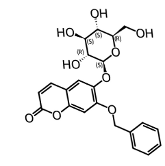 O=c1ccc2cc(O[C@@H]3O[C@H](CO)[C@@H](O)[C@H](O)[C@H]3O)c(OCc3ccccc3)cc2o1